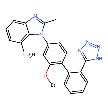 CCOc1cc(-n2c(C)nc3cccc(C(=O)O)c32)ccc1-c1ccccc1-c1nnn[nH]1